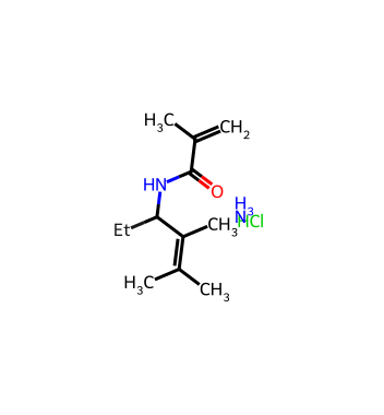 C=C(C)C(=O)NC(CC)C(C)=C(C)C.Cl.N